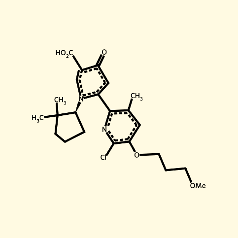 COCCCOc1cc(C)c(-c2cc(=O)c(C(=O)O)cn2[C@H]2CCCC2(C)C)nc1Cl